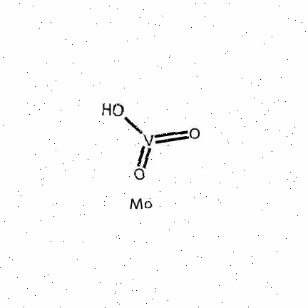 [Mo].[O]=[V](=[O])[OH]